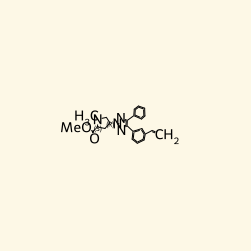 C=Cc1cccc(-c2nn([C@@H]3C[C@@H](C(=O)OC)N(C)C3)nc2-c2ccccc2)c1